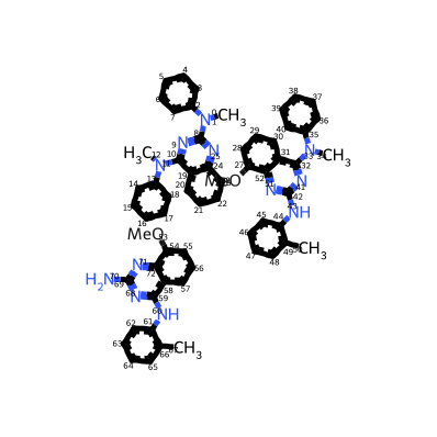 CN(c1ccccc1)c1nc(N(C)c2ccccc2)c2ccccc2n1.COc1cccc2c(N(C)c3ccccc3)nc(Nc3ccccc3C)nc12.COc1cccc2c(Nc3ccccc3C)nc(N)nc12